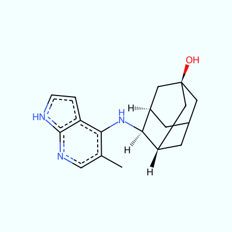 Cc1cnc2[nH]ccc2c1N[C@H]1[C@@H]2CC3C[C@H]1C[C@@](O)(C3)C2